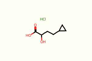 Cl.O=C(O)C(O)CCC1CC1